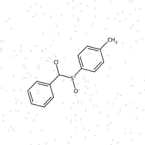 Cc1ccc([S+]([O-])C(Cl)c2ccccc2)cc1